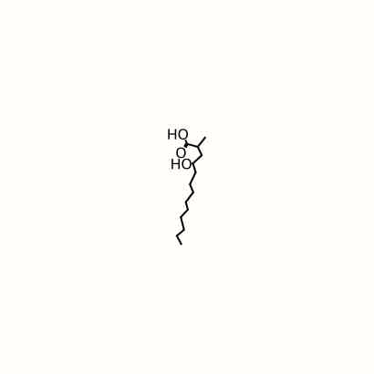 CCCCCCCCCC(O)CC(C)C(=O)O